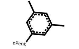 CCC[CH]Cc1cc(C)cc(C)c1